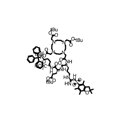 Cc1c(C)c(S(=O)(=O)NC(=N)NCCC[C@H](NC(=O)CN2CCN(CC(=O)OC(C)(C)C)CCN(CC(=O)OC(C)(C)C)CCN(CC(=O)OC(C)(C)C)CC2)C(=O)N[C@@H](CCC(=O)OC(C)(C)C)C(=O)N[C@@H](CCC(=O)NC(c2ccccc2)(c2ccccc2)c2ccccc2)C(=O)O)c(C)c2c1OC(C)(C)C2